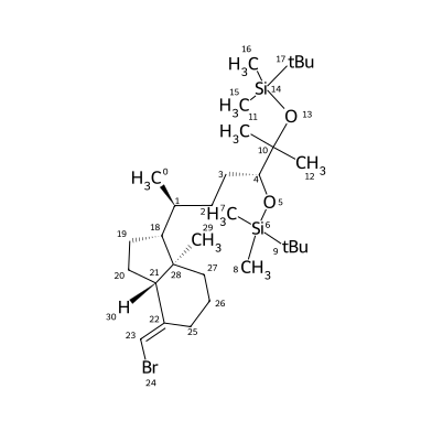 C[C@@H](CC[C@@H](O[Si](C)(C)C(C)(C)C)C(C)(C)O[Si](C)(C)C(C)(C)C)[C@H]1CC[C@H]2/C(=C/Br)CCC[C@]12C